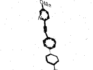 CC[C@H]1CC[C@H](c2ccc(C#Cc3ccc(OC)cn3)cc2)CC1